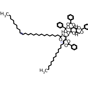 CCCCCCCC/C=C\CCCCCCCCCCCCCC(=O)N[C@@H](CO[C@@H]1O[C@@H]2COC(c3ccccc3)O[C@H]2[C@H](OC(=O)c2ccccc2)[C@H]1OC(=O)c1ccccc1)[C@@H](/C=C/CCCCCCCCCCCCC)OC(=O)c1ccccc1